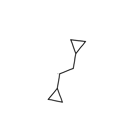 [CH](CC1CC1)C1CC1